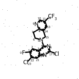 Fc1cc2c(N3CCc4ncc(C(F)(F)F)cc4C3)nc(Cl)nc2cc1Cl